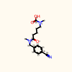 CN(CCCCC(=O)N(C)Cc1ccc(C#N)cc1)C(=O)O